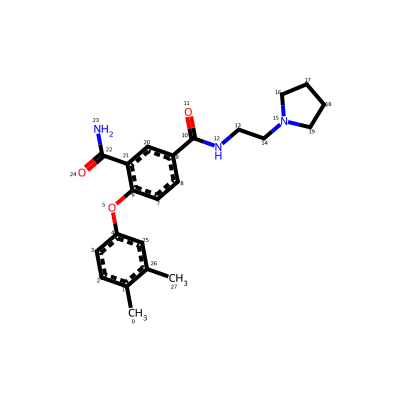 Cc1ccc(Oc2ccc(C(=O)NCCN3CCCC3)cc2C(N)=O)cc1C